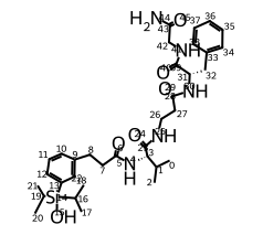 CC(C)[C@H](NC(=O)CCc1cccc([Si](O)(C(C)C)C(C)C)c1)C(=O)NCCC(=O)N[C@@H](Cc1ccccc1)C(=O)NCC(N)=O